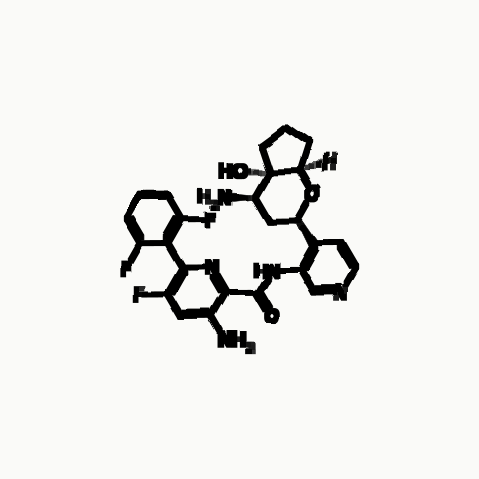 Nc1cc(F)c(-c2c(F)cccc2F)nc1C(=O)Nc1cnccc1[C@H]1C[C@@H](N)[C@@]2(O)CCC[C@H]2O1